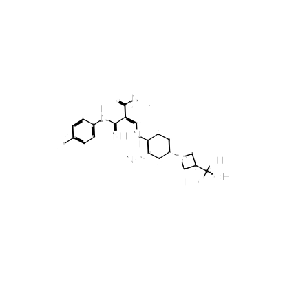 CC(C)(O)C1CN([C@@H]2CCC(N/C=C(\C(=N)Nc3ccc(Cl)cc3)C(N)=O)[C@@H](C#N)C2)C1